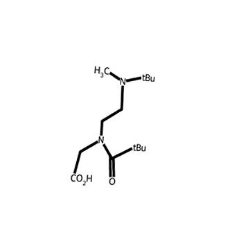 CN(CCN(CC(=O)O)C(=O)C(C)(C)C)C(C)(C)C